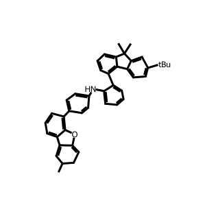 CC1C=c2c(oc3c(-c4ccc(Nc5ccccc5-c5cccc6c5-c5ccc(C(C)(C)C)cc5C6(C)C)cc4)cccc23)=CC1